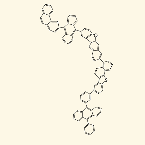 C1=c2ccc(-c3cccc4c3ccc3c5cc(-c6cccc(-c7c8ccccc8c(-c8ccccc8)c8ccccc78)c6)ccc5sc43)cc2=CC2Oc3ccc(-c4c5ccccc5c(-c5ccc6ccc7ccccc7c6c5)c5ccccc45)cc3C12